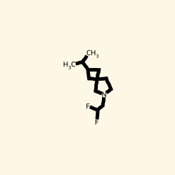 CC(C)C1CC2(CCN(CC(F)F)C2)C1